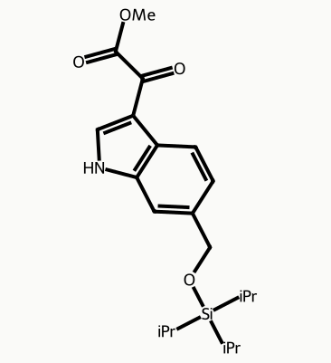 COC(=O)C(=O)c1c[nH]c2cc(CO[Si](C(C)C)(C(C)C)C(C)C)ccc12